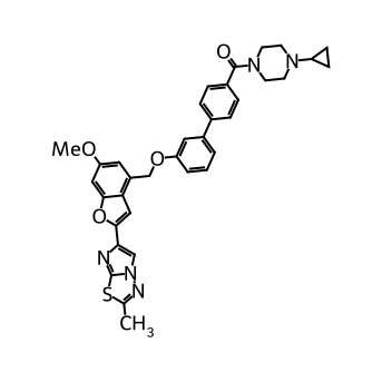 COc1cc(COc2cccc(-c3ccc(C(=O)N4CCN(C5CC5)CC4)cc3)c2)c2cc(-c3cn4nc(C)sc4n3)oc2c1